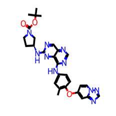 Cc1cc(Nc2ncnc3cnc(N[C@H]4CCN(C(=O)OC(C)(C)C)C4)nc23)ccc1Oc1ccn2ncnc2c1